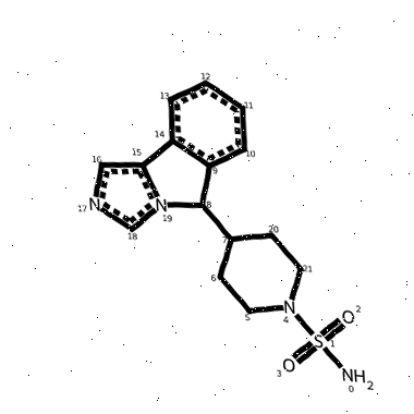 NS(=O)(=O)N1CCC(C2c3ccccc3-c3cncn32)CC1